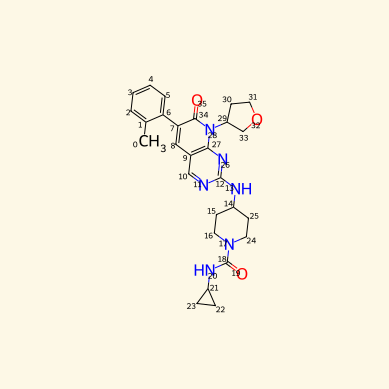 Cc1ccccc1-c1cc2cnc(NC3CCN(C(=O)NC4CC4)CC3)nc2n(C2CCOC2)c1=O